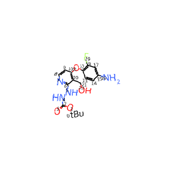 CC(C)(C)OC(=O)NNc1nccc(Oc2ccc(N)cc2F)c1CO